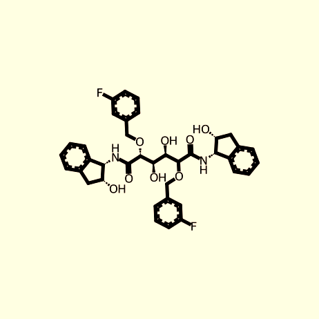 O=C(N[C@H]1c2ccccc2C[C@H]1O)C(OCc1cccc(F)c1)[C@H](O)[C@@H](O)[C@@H](OCc1cccc(F)c1)C(=O)N[C@H]1c2ccccc2C[C@H]1O